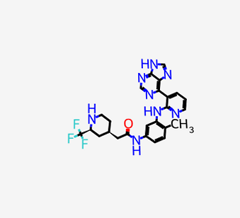 Cc1ccc(NC(=O)C[C@@H]2CCN[C@H](C(F)(F)F)C2)cc1Nc1ncccc1-c1ncnc2[nH]cnc12